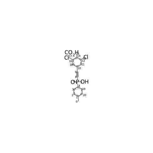 Cc1ccc(P(=O)(O)C#Cc2cc(Cl)c(C(=O)O)c(Cl)c2)cc1